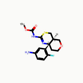 CC(C)(C)OC(=O)NC1=N[C@@]2(c3cc(N)ccc3F)CCOC[C@@H]2CS1